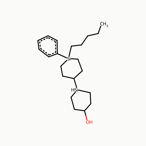 CCCCC[Si]1(c2ccccc2)CCC([SiH]2CCC(O)CC2)CC1